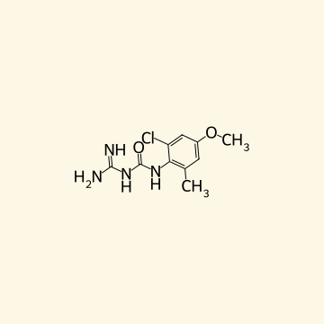 COc1cc(C)c(NC(=O)NC(=N)N)c(Cl)c1